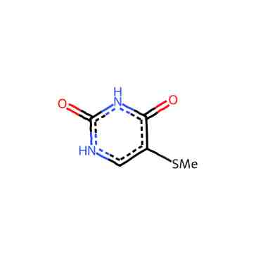 CSc1c[nH]c(=O)[nH]c1=O